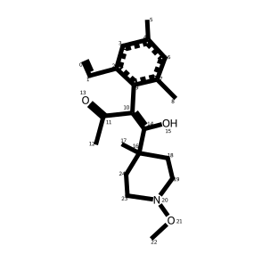 C=Cc1cc(C)cc(C)c1/C(C(C)=O)=C(\O)C1(C)CCN(OC)CC1